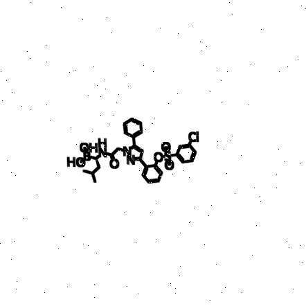 CC(C)C[C@H](NC(=O)Cn1nc(-c2ccccc2OS(=O)(=O)c2cccc(Cl)c2)cc1-c1ccccc1)B(O)O